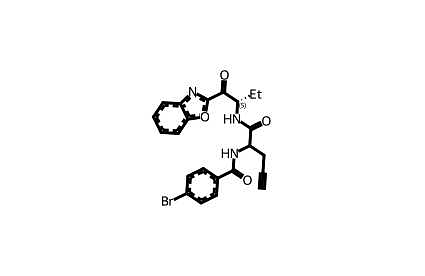 C#CCC(NC(=O)c1ccc(Br)cc1)C(=O)N[C@@H](CC)C(=O)c1nc2ccccc2o1